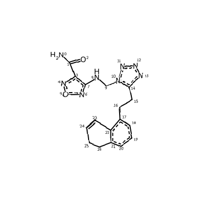 NC(=O)c1nonc1NCn1nnnc1CCc1cccc2c1C=CCC2